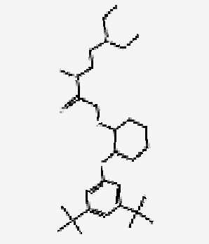 CCN(CC)CCN(C)C(=O)CSC1CCCCC1Sc1cc(C(C)(C)C)cc(C(C)(C)C)c1